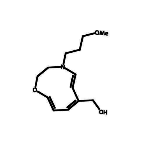 COCCCN1/C=C/C(CO)=C\C=C\OCC1